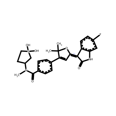 CN(C(=O)c1ccc(C2=C/C(=C3\C(=O)Nc4cc(F)ccc43)OC2(C)C)cc1)C1CCS(O)(O)C1